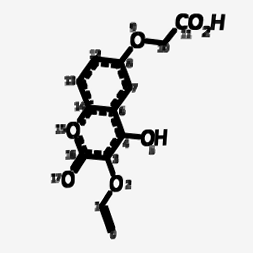 C=COc1c(O)c2cc(OCC(=O)O)ccc2oc1=O